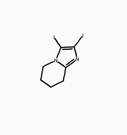 Ic1nc2n(c1I)CCCC2